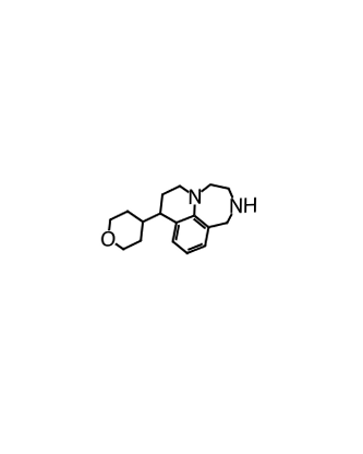 c1cc2c3c(c1)C(C1CCOCC1)CCN3CCNC2